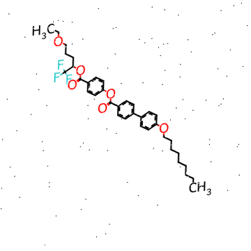 CCCCCCCCCOc1ccc(-c2ccc(C(=O)Oc3ccc(C(=O)OC(CCCOCC)C(F)(F)F)cc3)cc2)cc1